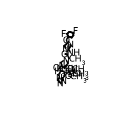 C[C@@H](C(=O)Nc1cnc(Oc2ccc(F)cc2F)cn1)N1CCN(C(=O)C2CC(O[Si](C)(C)C(C)(C)C)c3nncn3C2)C(C)(C)C1